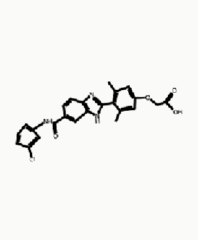 Cc1cc(OCC(=O)O)cc(C)c1-c1nc2ccc(C(=O)Nc3cccc(Cl)c3)cc2[nH]1